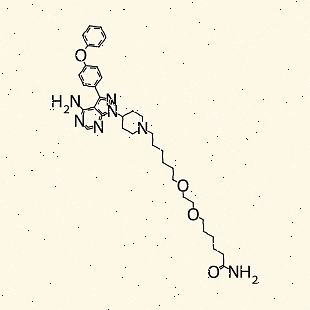 NC(=O)CCCCCOCCOCCCCCCN1CCC(n2nc(-c3ccc(Oc4ccccc4)cc3)c3c(N)ncnc32)CC1